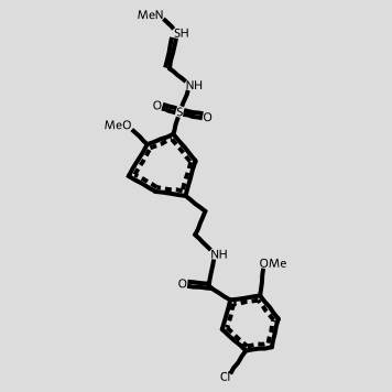 CN[SH]=CNS(=O)(=O)c1cc(CCNC(=O)c2cc(Cl)ccc2OC)ccc1OC